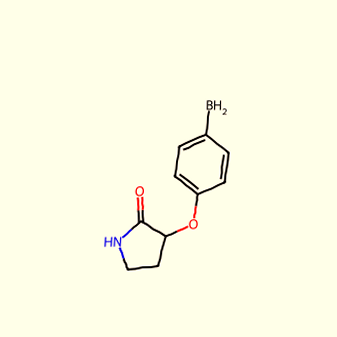 Bc1ccc(OC2CCNC2=O)cc1